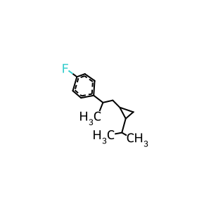 CC(CC1CC1C(C)C)c1ccc(F)cc1